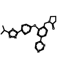 CC(C)c1nnc(-c2ccc(Oc3cc(-c4ccncn4)ccc3CN3CCCC3=O)cc2)s1